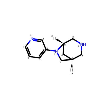 c1cncc(N2C[C@@H]3CNC[C@@H]2C3)c1